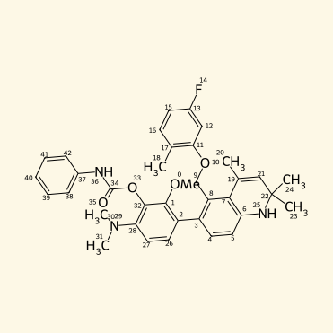 COc1c(-c2ccc3c(c2COc2cc(F)ccc2C)C(C)=CC(C)(C)N3)ccc(N(C)C)c1OC(=O)Nc1ccccc1